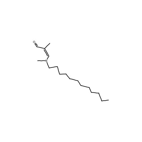 CCCCCCCCCCCCN(C)C=C(C)C=O